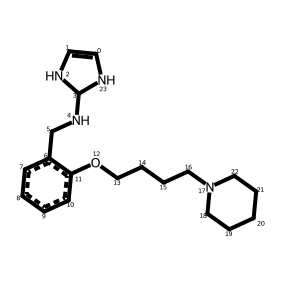 C1=CNC(NCc2ccccc2OCCCCN2CCCCC2)N1